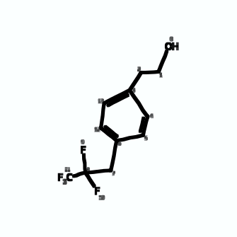 OCCc1ccc(CC(F)(F)C(F)(F)F)cc1